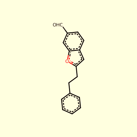 O=Cc1ccc2cc(CCc3ccccc3)oc2c1